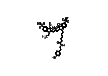 CCN1/C(=C/C=C/C2=[N+](CCCCCC(=O)NCCc3ccc(O)cc3)c3ccc(S(=O)(=O)[O-])cc3C2(C)C)C(C)(C)c2cc(S(=O)(=O)O)ccc21